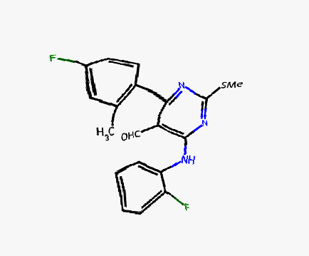 CSc1nc(Nc2ccccc2F)c(C=O)c(-c2ccc(F)cc2C)n1